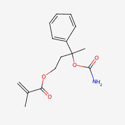 C=C(C)C(=O)OCCC(C)(OC(N)=O)c1ccccc1